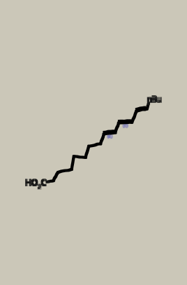 CCCCC=C/C=C/C=C/CCCCCCCC(=O)O